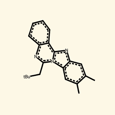 Cc1cc2nc3c4ccccc4nc(CC(C)(C)C)n3c2cc1C